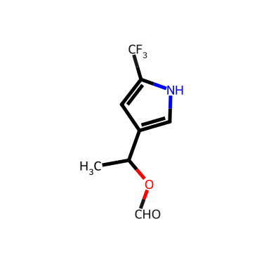 CC(OC=O)c1c[nH]c(C(F)(F)F)c1